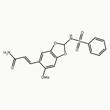 COc1cc2c(cc1C=CC(N)=O)OC(NS(=O)(=O)c1ccccc1)O2